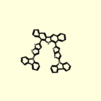 c1ccc2c(-c3cc4cc(-n5c6ccccc6c6ccccc65)sc4s3)c3sc4c(-c5cc6cc(-n7c8ccccc8c8ccccc87)sc6s5)c5ccccc5cc4c3cc2c1